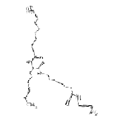 CCCCCCCC(=O)NC(CCCCCC)C(=O)NCCCCCC(=O)NCCN